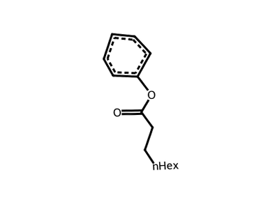 CCCCCCCCC(=O)Oc1ccccc1